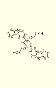 CCCOc1cc(-c2ccc3sc4ccccc4c3c2)c(OCCO)cc1-c1ccc2sc3ccccc3c2c1